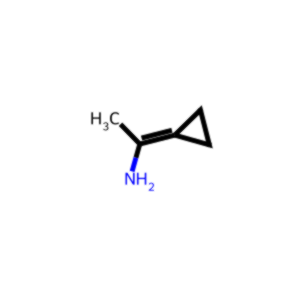 CC(N)=C1CC1